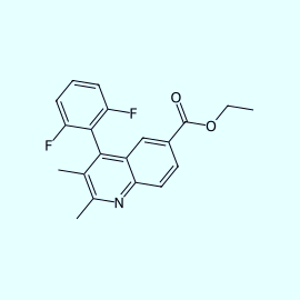 CCOC(=O)c1ccc2nc(C)c(C)c(-c3c(F)cccc3F)c2c1